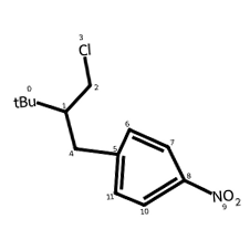 CC(C)(C)C(CCl)Cc1ccc([N+](=O)[O-])cc1